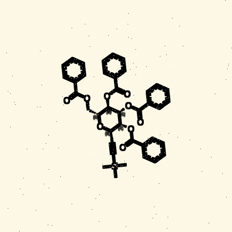 C[Si](C)(C)C#C[C@H]1O[C@H](COC(=O)c2ccccc2)[C@@H](OC(=O)c2ccccc2)[C@H](OC(=O)c2ccccc2)[C@@H]1OC(=O)c1ccccc1